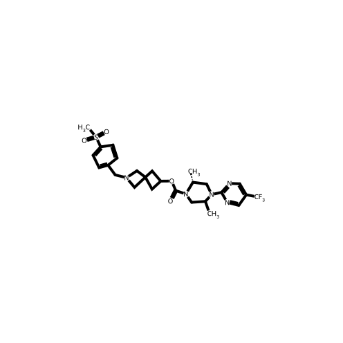 CC1CN(C(=O)OC2CC3(C2)CN(Cc2ccc(S(C)(=O)=O)cc2)C3)[C@H](C)CN1c1ncc(C(F)(F)F)cn1